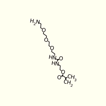 C=C(C)C(=O)OCCNC(=O)NCCOCCOCCOCCN